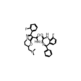 CN(C)CC1CCn2nc(-c3ccccc3F)c(C(=O)N[C@H]3N=C(c4ccccc4)c4cccc(F)c4NC3=O)c2O1